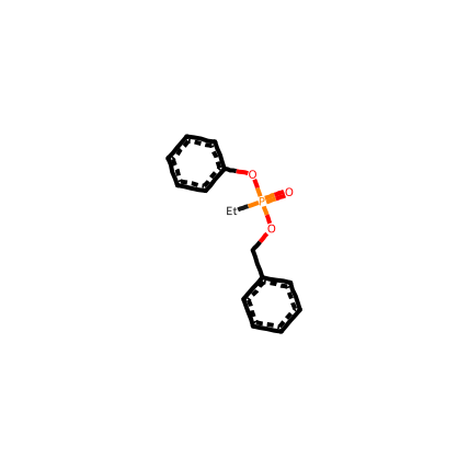 CCP(=O)(OCc1ccccc1)Oc1ccccc1